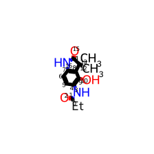 CCC(=O)Nc1ccc2c(c1O)C(C)(C)C(=O)N2